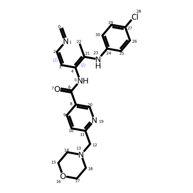 C=N/C=C\C(NC(=O)c1ccc(CN2CCOCC2)nc1)=C(/C)Nc1ccc(Cl)cc1